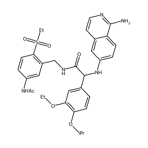 CCOc1cc(C(Nc2ccc3c(N)nccc3c2)C(=O)NCc2cc(NC(C)=O)ccc2S(=O)(=O)CC)ccc1OC(C)C